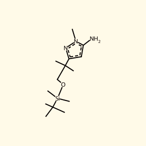 Cn1nc(C(C)(C)CO[Si](C)(C)C(C)(C)C)cc1N